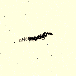 C/C=C/CC[C@H]1CC[C@H](C(=O)Oc2ccc(-c3ccc(OC[C@@H](F)CCCCCC)cc3)cc2)CC1